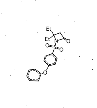 CCC1(CC)CC(=O)N1S(=O)(=O)c1ccc(Oc2ccccc2)cc1